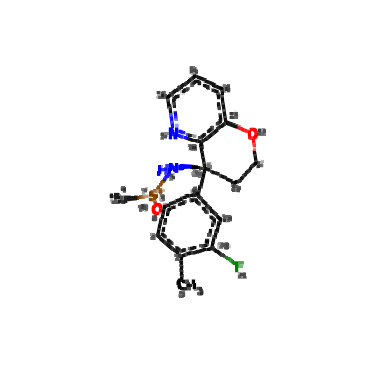 Cc1ccc([C@@]2(N[S@@+]([O-])C(C)(C)C)CCOc3cccnc32)cc1F